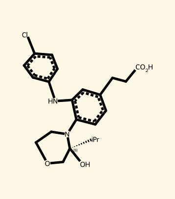 CC(C)[C@]1(O)COCCN1c1ccc(CCC(=O)O)cc1Nc1ccc(Cl)cc1